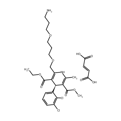 CCOC(=O)C1=C(COCCCOCCCN)NC(C)=C(C(=O)OC)[C@H]1c1cccc(Cl)c1Cl.O=C(O)C=CC(=O)O